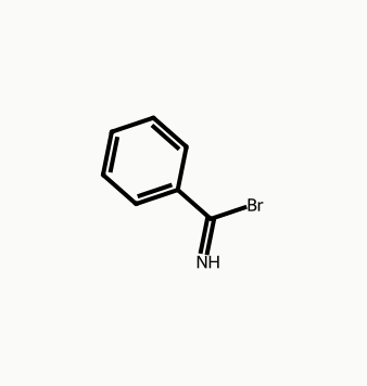 N=C(Br)c1ccccc1